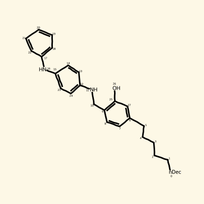 CCCCCCCCCCCCCCCc1ccc(CNc2ccc(Nc3ccccc3)cc2)c(O)c1